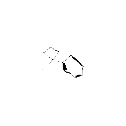 [CH2]C1(c2ccccc2)CCC1